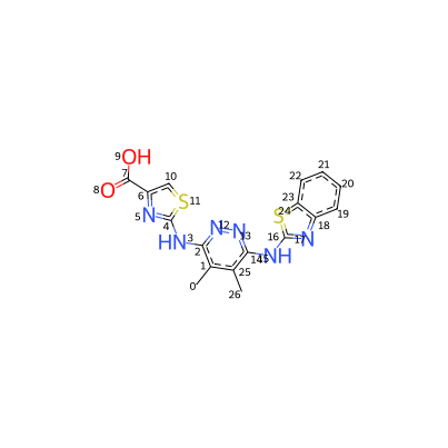 Cc1c(Nc2nc(C(=O)O)cs2)nnc(Nc2nc3ccccc3s2)c1C